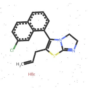 Br.C=CCC1=C(c2cccc3ccc(Cl)cc23)N2CCN=C2S1